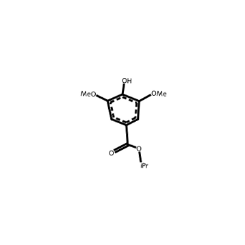 COc1cc(C(=O)OC(C)C)cc(OC)c1O